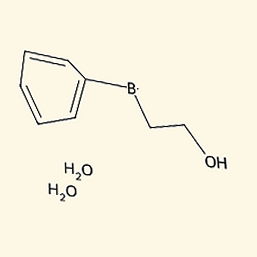 O.O.OCC[B]c1ccccc1